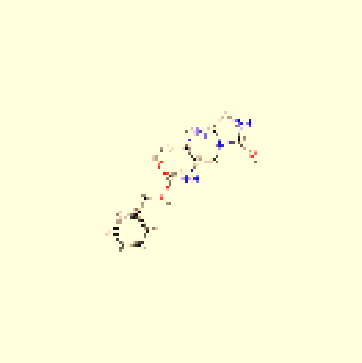 NC(=O)[C@H](CN1CCNC1=O)NC(=O)OCc1ccccc1